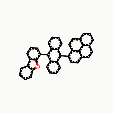 c1cc2ccc3ccc(-c4c5ccccc5c(-c5cccc6c5oc5ccccc56)c5ccccc45)c4ccc(c1)c2c34